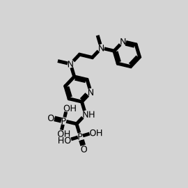 CN(CCN(C)c1ccccn1)c1ccc(NC(P(=O)(O)O)P(=O)(O)O)nc1